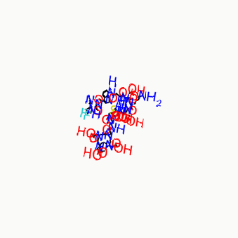 N#C[C@@H]1CC(F)(F)CN1C(=O)CNC(=O)c1ccnc2c(NC(=O)CCC(=O)N[C@H](CC(=O)O)C(=O)N[C@H](CCCCN)C(=O)N[C@H](CC(=O)O)C(=O)N[C@H](CS[C@@H]3CC(=O)N(CCNC(=O)CN4CCN(CC(=O)O)CCN(CC(=O)O)CCN(CC(=O)O)CC4)C3=O)C(=O)O)cccc12